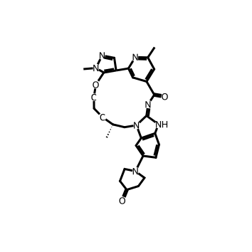 Cc1cc2cc(n1)-c1cnn(C)c1OCCC[C@@H](C)CN1/C(=N/C2=O)Nc2ccc(N3CCC(=O)CC3)cc21